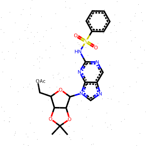 CC(=O)OCC1OC(n2cnc3cnc(NS(=O)(=O)c4ccccc4)nc32)C2OC(C)(C)OC12